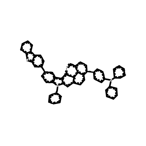 c1ccc(N(c2ccccc2)c2ccc(-c3ccc4ccc5c6c(ccc3c46)cc3c5c4cc(-c5ccc6c(c5)sc5ccccc56)ccc4n3-c3ccccc3)cc2)cc1